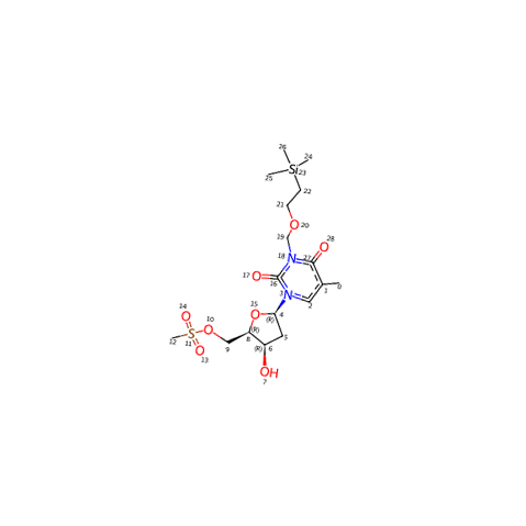 Cc1cn([C@H]2C[C@@H](O)[C@@H](COS(C)(=O)=O)O2)c(=O)n(COCC[Si](C)(C)C)c1=O